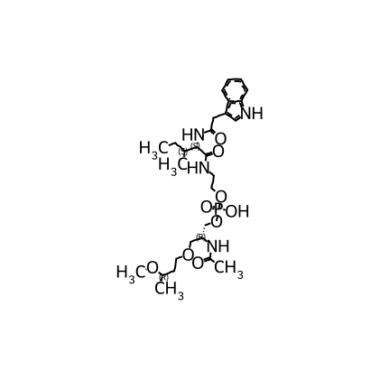 CC[C@H](C)[C@H](NC(=O)Cc1c[nH]c2ccccc12)C(=O)NCCOP(=O)(O)OC[C@@H](COCC[C@@H](C)OC)NC(C)=O